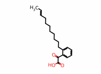 CC=CCCCCCCCCc1ccccc1C(=O)C(=O)O